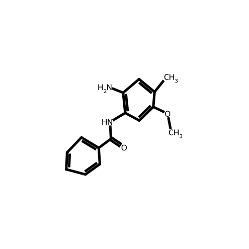 COc1cc(NC(=O)c2ccccc2)c(N)cc1C